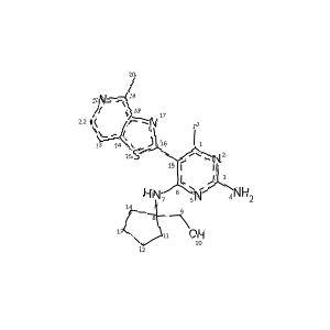 Cc1nc(N)nc(NC2(CO)CCCC2)c1-c1nc2c(C)nccc2s1